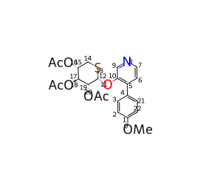 COc1ccc(-c2ccncc2O[C@H]2SC[C@@H](OC(C)=O)[C@H](OC(C)=O)[C@H]2OC(C)=O)cc1